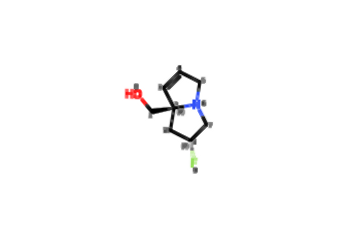 OC[C@@]12C=CCN1C[C@H](F)C2